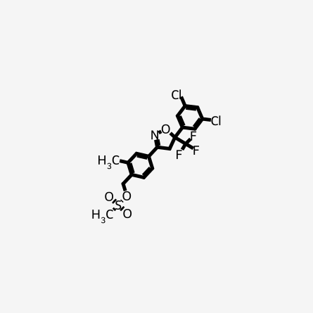 Cc1cc(C2=NOC(c3cc(Cl)cc(Cl)c3)(C(F)(F)F)C2)ccc1COS(C)(=O)=O